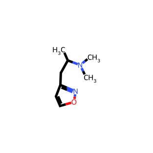 CC(Cc1ccon1)N(C)C